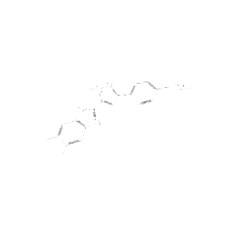 COc1ccc(-c2cc(-c3nc4cc(Cl)c(Cl)cc4[nH]3)[nH]n2)c(F)c1